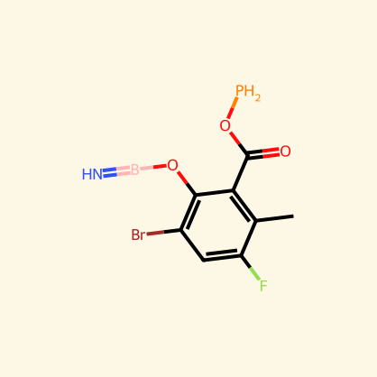 Cc1c(F)cc(Br)c(OB=N)c1C(=O)OP